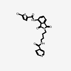 O=C(NCCCCN1C(=O)c2cccc(NC(=O)c3ccc(Cl)s3)c2C1=O)c1ccncc1